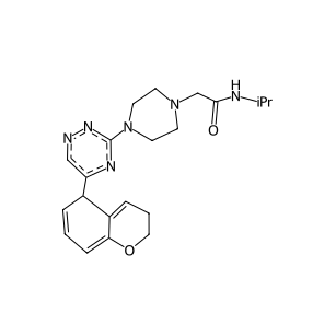 CC(C)NC(=O)CN1CCN(c2nncc(C3C=CC=C4OCCC=C43)n2)CC1